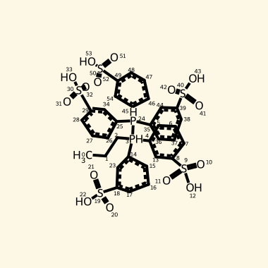 CCC[PH](c1cccc(S(=O)(=O)O)c1)(c1cccc(S(=O)(=O)O)c1)[PH](c1cccc(S(=O)(=O)O)c1)(c1cccc(S(=O)(=O)O)c1)c1cccc(S(=O)(=O)O)c1